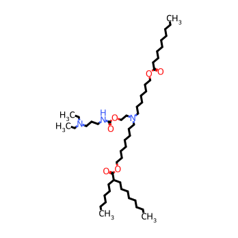 CCCCCCCCCC(=O)OCCCCCCCN(CCCCCCCCOC(=O)C(CCCCCC)CCCCCCCC)CCOC(=O)NCCCN(CC)CC